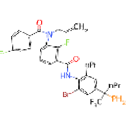 C=CCN(C(=O)c1ccc(F)cc1)c1cccc(C(=O)Nc2c(Br)cc(C(P)(CCC)C(F)(F)F)cc2CCC)c1F